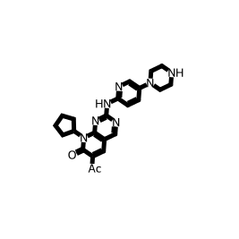 CC(=O)c1cc2cnc(Nc3ccc(N4CCNCC4)cn3)nc2n(C2CCCC2)c1=O